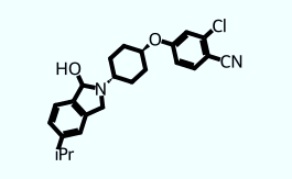 CC(C)c1ccc2c(c1)CN([C@H]1CC[C@H](Oc3ccc(C#N)c(Cl)c3)CC1)C2O